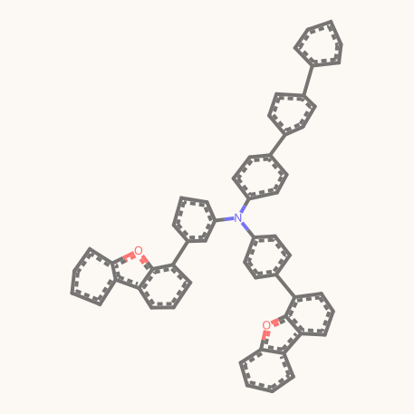 c1ccc(-c2ccc(-c3ccc(N(c4ccc(-c5cccc6c5oc5ccccc56)cc4)c4cccc(-c5cccc6c5oc5ccccc56)c4)cc3)cc2)cc1